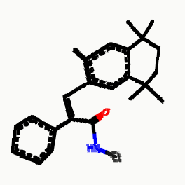 CCNC(=O)C(=Cc1cc2c(cc1C)C(C)(C)CCC2(C)C)c1ccccc1